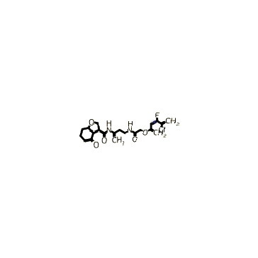 C=C(CCNC(=O)COC(=C)/C=C(/F)C(=C)Cl)NC(=O)C1COC2CCCC(=O)C21